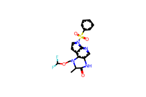 CC1C(=O)Nc2cnc3c(ccn3S(=O)(=O)c3ccccc3)c2N1COC(F)F